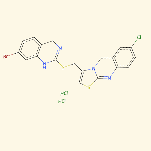 Cl.Cl.Clc1ccc2c(c1)CN1C(CSC3=NCc4ccc(Br)cc4N3)=CSC1=N2